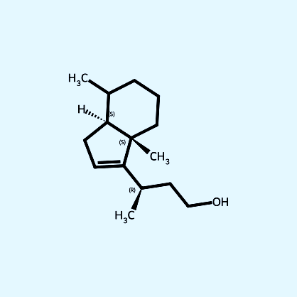 CC1CCC[C@]2(C)C([C@H](C)CCO)=CC[C@@H]12